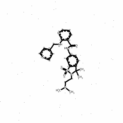 CN(C)CCN1C(C)(C)c2ccc(NC(=O)c3cccnc3NCc3ccncc3)cc2S1(=O)=O